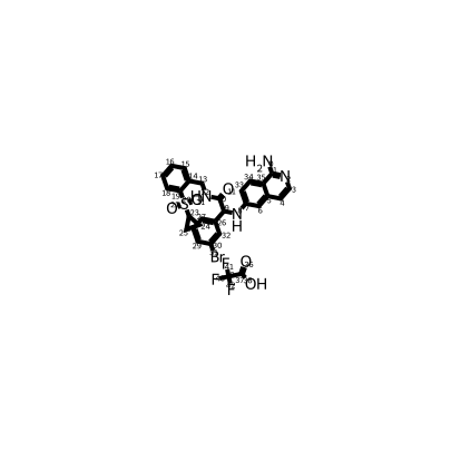 Nc1nccc2cc(NC(C(=O)NCc3ccccc3S(=O)(=O)C3CC3)c3cccc(Br)c3)ccc12.O=C(O)C(F)(F)F